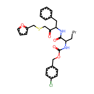 CC(C)CC(NC(=O)OCc1ccc(Cl)cc1)C(=O)NC(Cc1ccccc1)C(=O)CSCc1ccco1